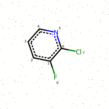 Fc1cc[c]nc1Cl